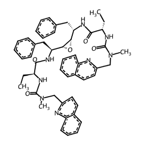 CC[C@H](NC(=O)N(C)Cc1ccc2ccccc2n1)C(=O)N[C@@H](Cc1ccccc1)[C@@H]1O[C@@H]1[C@H](Cc1ccccc1)NC(=O)[C@H](CC)NC(=O)N(C)Cc1ccc2ccccc2n1